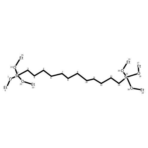 CCO[Si](CCCCCCCCCCCC[Si](OCC)(OCC)OCC)(OCC)OCC